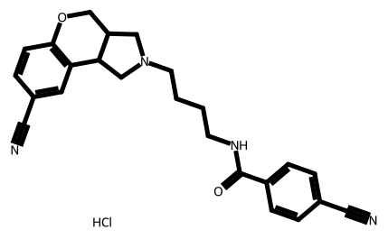 Cl.N#Cc1ccc(C(=O)NCCCCN2CC3COc4ccc(C#N)cc4C3C2)cc1